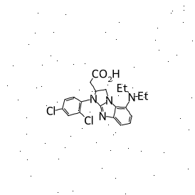 CCN(CC)c1cccc2nc3n(c12)CC(CC(=O)O)N3c1ccc(Cl)cc1Cl